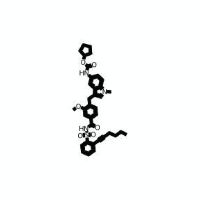 CCCCC#Cc1ccccc1S(=O)(=O)NC(=O)c1ccc(Cc2cn(C)c3ccc(NC(=O)OC4CCCC4)cc23)c(OC)c1